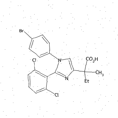 CCC(C)(C(=O)O)c1cn(-c2ccc(Br)cc2)c(-c2c(Cl)cccc2Cl)n1